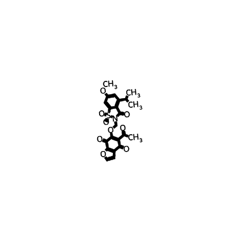 COc1cc(C(C)C)c2c(c1)S(=O)(=O)N(COC1=C(C(C)=O)C(=O)c3ccoc3C1=O)C2=O